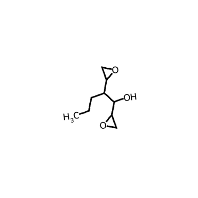 CCCC(C1CO1)C(O)C1CO1